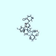 Cc1nnc(N2N=C(c3cnccc3Cl)SC2(CCC(N)c2cnccc2Cl)c2ccccc2)s1